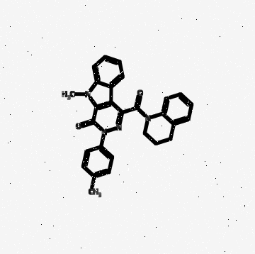 Cc1ccc(-n2nc(C(=O)N3CCCc4ccccc43)c3c4ccccc4n(C)c3c2=O)cc1